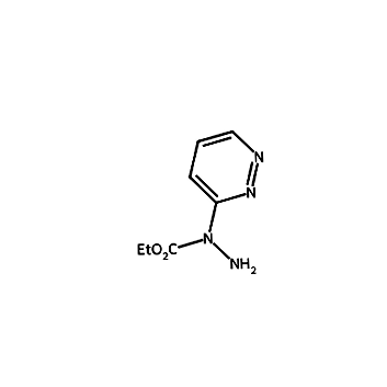 CCOC(=O)N(N)c1cccnn1